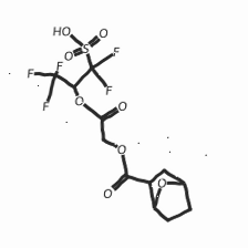 O=C(COC(=O)C1CC2CCC1O2)OC(C(F)(F)F)C(F)(F)S(=O)(=O)O